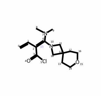 C=C/C(C(=O)Cl)=C(\N(C)C)N1CC2(CCOCC2)C1